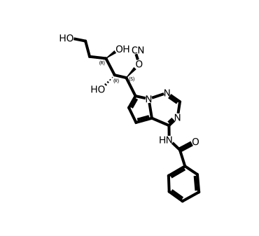 N#CO[C@@H](c1ccc2c(NC(=O)c3ccccc3)ncnn12)[C@H](O)[C@H](O)CCO